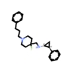 FC1(CN[C@@H]2C[C@H]2c2ccccc2)CCN(CCCc2ccccc2)CC1